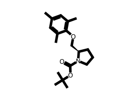 Cc1cc(C)c(OC[C@H]2CCCN2C(=O)OC(C)(C)C)c(C)c1